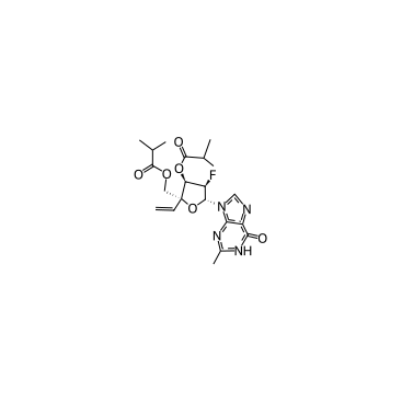 C=C[C@]1(COC(=O)C(C)C)O[C@@H](n2cnc3c(=O)[nH]c(C)nc32)[C@H](F)[C@@H]1OC(=O)C(C)C